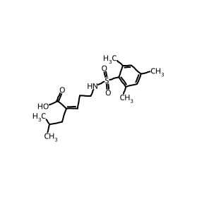 Cc1cc(C)c(S(=O)(=O)NCCC=C(CC(C)C)C(=O)O)c(C)c1